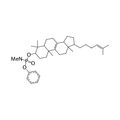 CNP(=O)(Oc1ccccc1)OC1CCC2(C)C3=C(CCC2C1(C)C)C1CCC(CCCC=C(C)C)C1(C)CC3